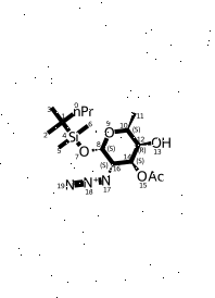 CCCC(C)(C)[Si](C)(C)O[C@@H]1O[C@@H](C)[C@@H](O)[C@@H](OC(C)=O)[C@@H]1N=[N+]=[N-]